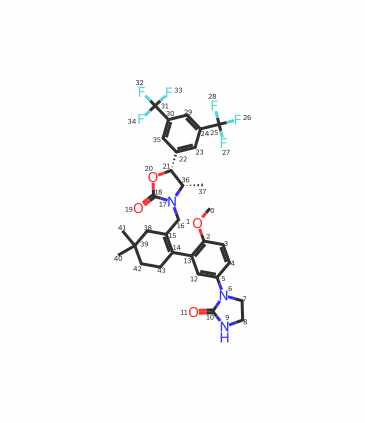 COc1ccc(N2CCNC2=O)cc1C1=C(CN2C(=O)O[C@H](c3cc(C(F)(F)F)cc(C(F)(F)F)c3)[C@@H]2C)CC(C)(C)CC1